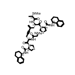 C=C(C#CC[C@H](NC(=O)CNC)C(=O)N1CSC[C@H]1C(=O)N[C@@H]1CCCc2ccccc21)C[C@H](NC(=O)[C@H](C)NC)C(=O)N1CSC[C@H]1C(=O)N[C@@H]1CCCc2ccccc21